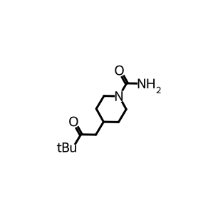 CC(C)(C)C(=O)CC1CCN(C(N)=O)CC1